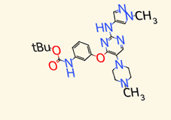 CN1CCN(c2cnc(Nc3cnn(C)c3)nc2Oc2cccc(NC(=O)OC(C)(C)C)c2)CC1